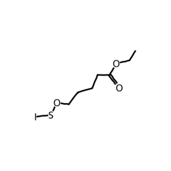 CCOC(=O)CCCCOSI